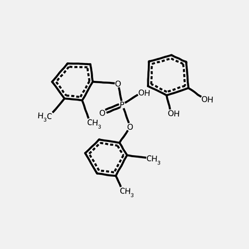 Cc1cccc(OP(=O)(O)Oc2cccc(C)c2C)c1C.Oc1ccccc1O